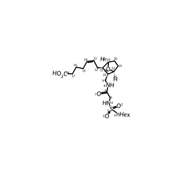 CCCCCCS(=O)(=O)NCC(=O)NC[C@H]1[C@@H](C/C=C\CCCC(=O)O)[C@H]2CC[C@@H]1O2